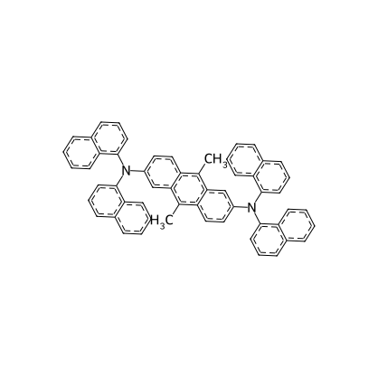 Cc1c2ccc(N(c3cccc4ccccc34)c3cccc4ccccc34)cc2c(C)c2ccc(N(c3cccc4ccccc34)c3cccc4ccccc34)cc12